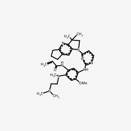 C=CC(=O)Nc1cc(Nc2nccc(N3CC(C)(C)c4nc5c(cc43)CCC5)n2)c(OC)cc1N(C)CCN(C)C